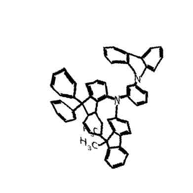 CC1(C)c2ccccc2-c2ccc(N(c3cccc(-n4c5ccccc5c5ccccc54)c3)c3cccc4c3C3CCC=CC3C4(c3ccccc3)c3ccccc3)cc21